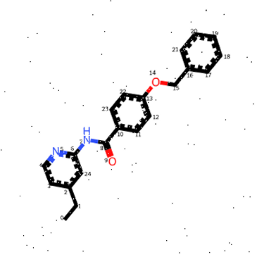 CCc1ccnc(NC(=O)c2ccc(OCc3ccccc3)cc2)c1